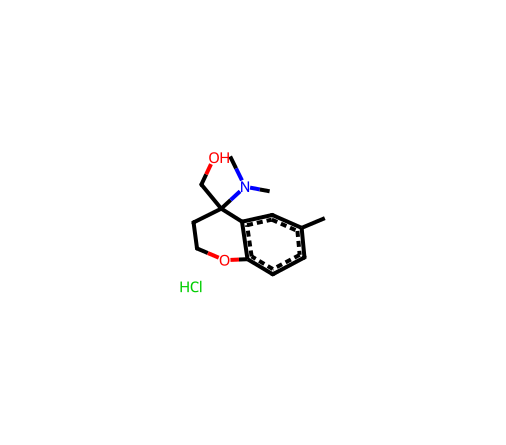 Cc1ccc2c(c1)C(CO)(N(C)C)CCO2.Cl